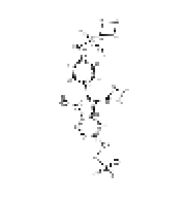 CS(=O)(=O)COc1ccc2c(C#N)c(-c3ccc(NS(=O)(=O)C4CCC4)cc3)n(C3CCC3)c2c1